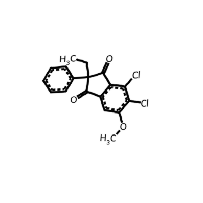 CCC1(c2ccccc2)C(=O)c2cc(OC)c(Cl)c(Cl)c2C1=O